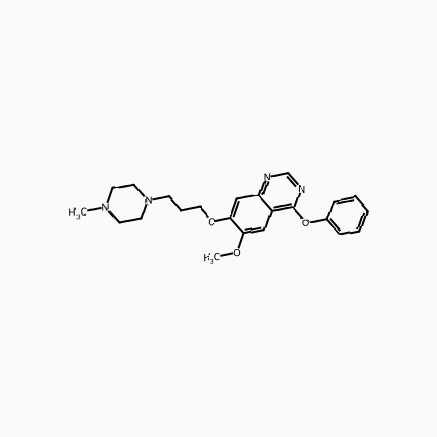 COc1cc2c(Oc3ccccc3)ncnc2cc1OCCCN1CCN(C)CC1